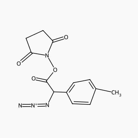 Cc1ccc(C(N=[N+]=[N-])C(=O)ON2C(=O)CCC2=O)cc1